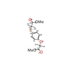 COC(=O)C(C)(C)Oc1ccc(SC(C)(C)C(=O)OC)cc1